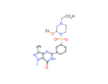 CCCc1nn(C)c2c(=O)[nH]c(-c3cccc(S(=O)(=O)N4CCN(CC(=O)O)CC4OCC)c3)nc12